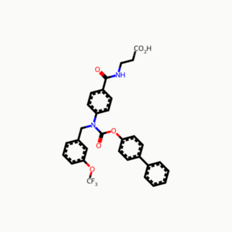 O=C(O)CCNC(=O)c1ccc(N(Cc2cccc(OC(F)(F)F)c2)C(=O)Oc2ccc(-c3ccccc3)cc2)cc1